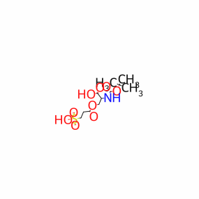 CC(C)(C)OC(=O)NC(COC(=O)CCS(=O)(=O)O)C(=O)O